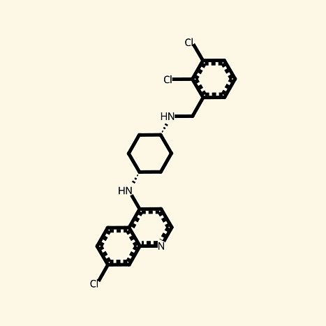 Clc1ccc2c(N[C@H]3CC[C@@H](NCc4cccc(Cl)c4Cl)CC3)ccnc2c1